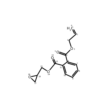 C=CCOC(=O)c1ccccc1C(=O)OCC1CO1